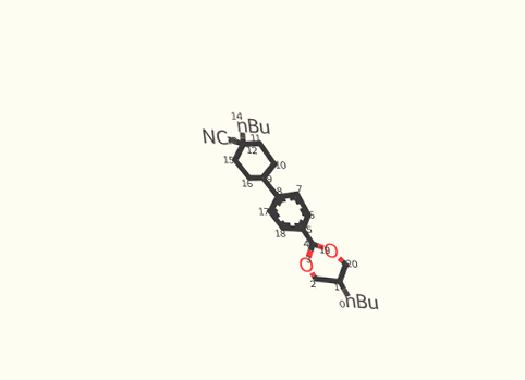 CCCCC1COC(c2ccc(C3CCC(C#N)(CCCC)CC3)cc2)OC1